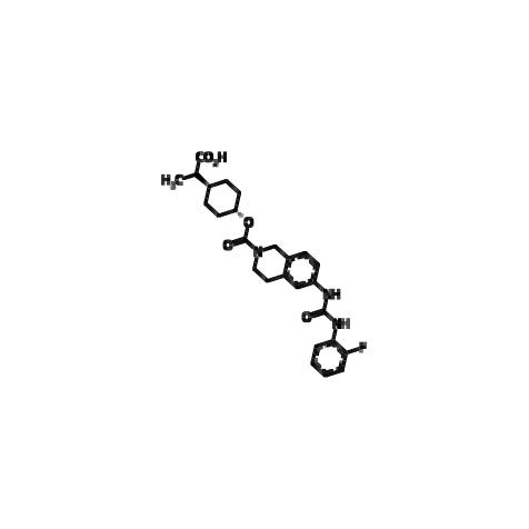 CC(C(=O)O)[C@H]1CC[C@H](OC(=O)N2CCc3cc(NC(=O)Nc4ccccc4F)ccc3C2)CC1